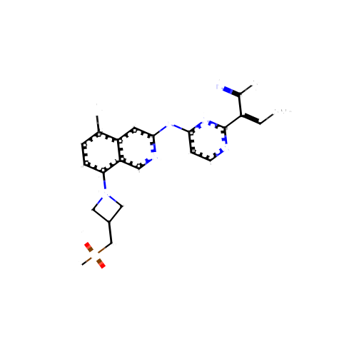 CN/C=C(\C(=N)[N+](=O)[O-])c1nccc(Nc2cc3c(C(C)C)ccc(N4CC(CS(C)(=O)=O)C4)c3cn2)n1